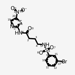 O=C(CCCNS(=O)(=O)c1cccc(Br)c1)Nc1ncc([N+](=O)[O-])s1